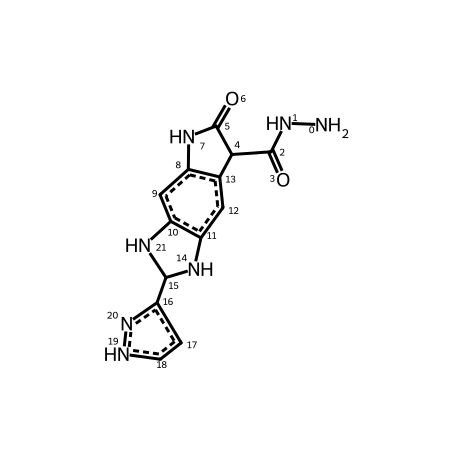 NNC(=O)C1C(=O)Nc2cc3c(cc21)NC(c1cc[nH]n1)N3